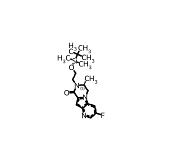 C[C@H]1Cn2c(cc3ncc(F)cc32)C(=O)N1CCO[Si](C)(C)C(C)(C)C